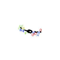 CC(=O)NCC1CN(c2ccc(-c3nnc(C(F)(F)F)s3)c(F)c2)C(=O)O1